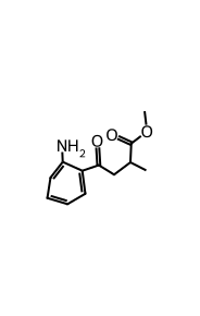 COC(=O)C(C)CC(=O)c1ccccc1N